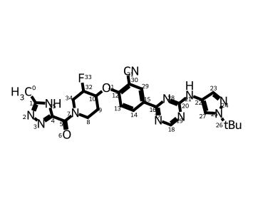 Cc1nnc(C(=O)N2CCC(Oc3ccc(-c4ncnc(Nc5cnn(C(C)(C)C)c5)n4)cc3C#N)C(F)C2)[nH]1